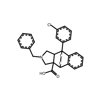 O=C(O)C12CN(Cc3ccccc3)CC1C1(c3cccc(Cl)c3)CCC2c2ccccc21